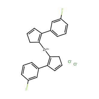 Fc1cccc(C2=[C]([Zr+2][C]3=C(c4cccc(F)c4)C=CC3)CC=C2)c1.[Cl-].[Cl-]